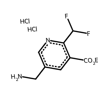 CCOC(=O)c1cc(CN)cnc1C(F)F.Cl.Cl